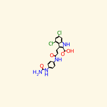 NC(=O)Nc1ccc(NC(=O)C=Cc2c(C(=O)O)[nH]c3cc(Cl)cc(Cl)c23)cc1